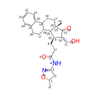 CC1CC(NC(=O)CC[C@@H]2/C(=C/O)C(=O)[C@@]3(C)CCC4c5ccccc5CCC4C23)=NO1